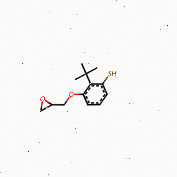 CC(C)(C)c1c(S)cccc1OCC1CO1